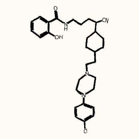 N#CC(CCCNC(=O)c1ccccc1O)C1CCC(CCN2CCN(c3ccc(Cl)cc3)CC2)CC1